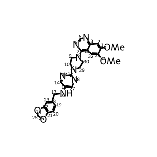 COc1cc2ncnc(N3CCN(c4ncc(NCc5ccc6c(c5)OCO6)cn4)CC3)c2cc1OC